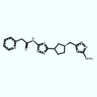 CC(=O)Nc1nnc(C[C@H]2CCC(c3nnc(NC(=O)Cc4ccccn4)s3)C2)s1